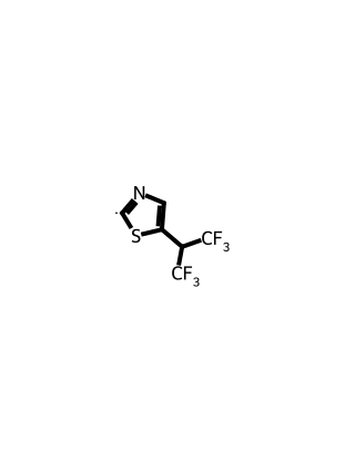 FC(F)(F)C(c1cn[c]s1)C(F)(F)F